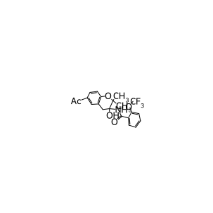 CC(=O)c1ccc2c(c1)CC(O)(NC(=O)c1ccccc1OC(F)(F)F)C(C)(C)O2